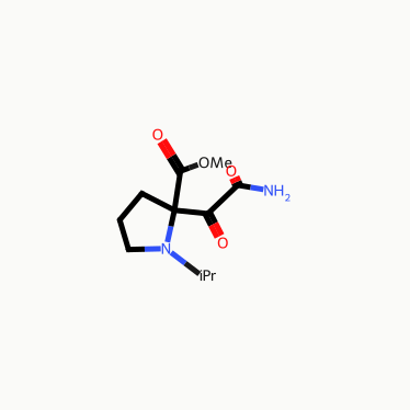 COC(=O)C1(C(=O)C(N)=O)CCCN1C(C)C